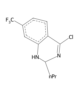 CCCC1N=C(Cl)c2ccc(C(F)(F)F)cc2N1